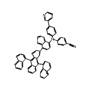 N#Cc1ccc(N(c2ccc(-c3cccnc3)cc2)c2ccc(-c3ccc4c(-c5cccc6ccccc56)c5ccccc5c(-c5cccc6ccccc56)c4c3)c3ccccc23)cc1